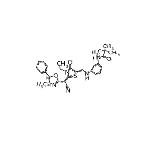 CCn1c(=C(C#N)C2=N[C@H](C)[C@@H](c3ccccc3)O2)sc(=CNc2cccc(NC(=O)C(C)(C)C)c2)c1=O